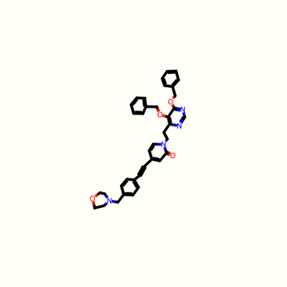 O=c1cc(C#Cc2ccc(CN3CCOCC3)cc2)ccn1CCc1ncnc(OCc2ccccc2)c1OCc1ccccc1